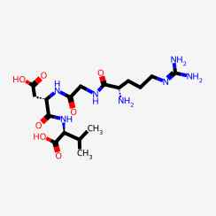 CC(C)[C@H](NC(=O)[C@H](CC(=O)O)NC(=O)CNC(=O)[C@@H](N)CCCN=C(N)N)C(=O)O